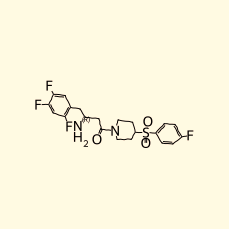 N[C@@H](CC(=O)N1CCC(S(=O)(=O)c2ccc(F)cc2)CC1)Cc1cc(F)c(F)cc1F